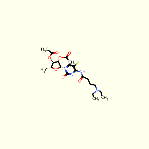 CCN(CC)CCCC(=O)Nc1nc(=O)n([C@@H]2O[C@H](C)[C@@H](OC(C)=O)[C@H]2OC(C)=O)cc1F